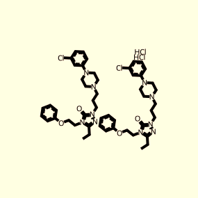 CCc1nn(CCCN2CCN(c3cccc(Cl)c3)CC2)c(=O)n1CCOc1ccccc1.CCc1nn(CCCN2CCN(c3cccc(Cl)c3)CC2)c(=O)n1CCOc1ccccc1.Cl.Cl